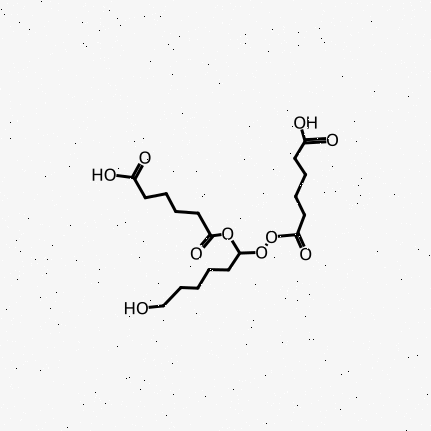 O=C(O)CCCCC(=O)OOC(CCCCCO)OC(=O)CCCCC(=O)O